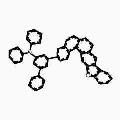 c1ccc(-c2cc(-c3ccc4c(ccc5ccc6cc7c(cc6c54)oc4ccccc47)c3)cc(N(c3ccccc3)c3ccccc3)c2)cc1